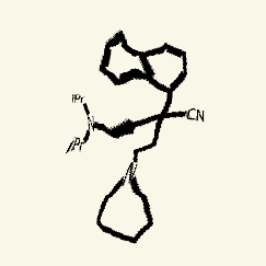 CC(C)N(CCC(C#N)(CCN1CCCCC1)c1cccc2ccccc12)C(C)C